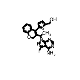 CC(C1=C(c2ccc(CO)s2)c2ccccc2OC1)n1nc(I)c2c(N)ncnc21